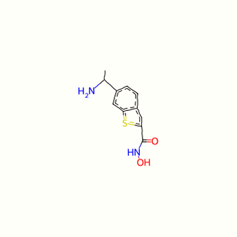 CC(N)c1ccc2cc(C(=O)NO)sc2c1